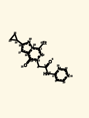 CCc1nn(CC(=O)Nc2ccncn2)c(=O)c2cc(C3CC3)nn12